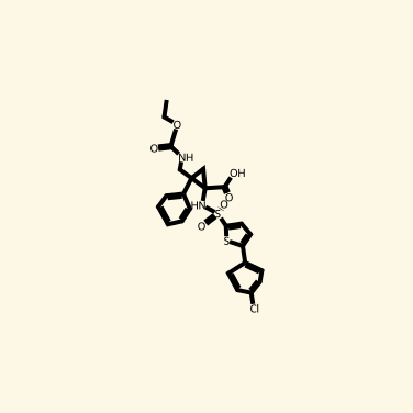 CCOC(=O)NCC1(c2ccccc2)CC1(NS(=O)(=O)c1ccc(-c2ccc(Cl)cc2)s1)C(=O)O